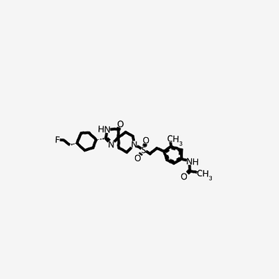 CC(=O)Nc1ccc(CCS(=O)(=O)N2CCC3(CC2)N=C([C@H]2CC[C@@H](CCF)CC2)NC3=O)c(C)c1